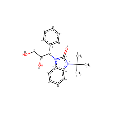 CC(C)(C)n1c(=O)n([C@@H](c2ccccc2)[C@H](O)CO)c2ccccc21